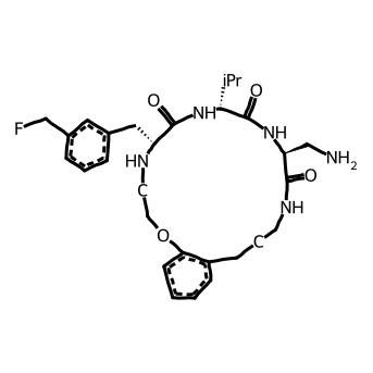 CC(C)[C@H]1NC(=O)[C@@H](Cc2cccc(CF)c2)NCCOc2ccccc2CCCNC(=O)[C@H](CN)NC1=O